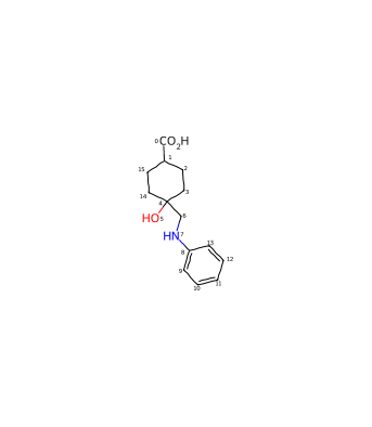 O=C(O)C1CCC(O)(CNc2ccccc2)CC1